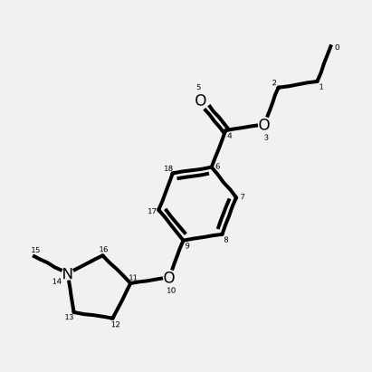 CCCOC(=O)c1ccc(OC2CCN(C)C2)cc1